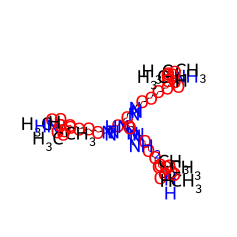 CC(=O)N[C@H]1[C@H]2OC[C@](COCCOCCOCCOCCn3cc(COCC(COCc4cn(CCOCCOCCOCCOC[C@@]56CO[C@@H](O5)[C@H](NC(C)=O)[C@@H](OC(C)=O)[C@H]6OC(C)=O)nn4)(COCc4cn(CCOCCOCCOCCOC[C@@]56CO[C@@H](O5)[C@H](NC(C)=O)[C@@H](OC(C)=O)[C@H]6OC(C)=O)nn4)NC(=O)CCCCCN)nn3)(O2)[C@H](OC(C)=O)[C@@H]1OC(C)=O